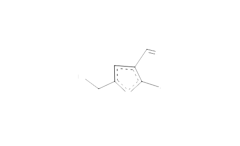 O=Cc1cc(CO)sc1Cl